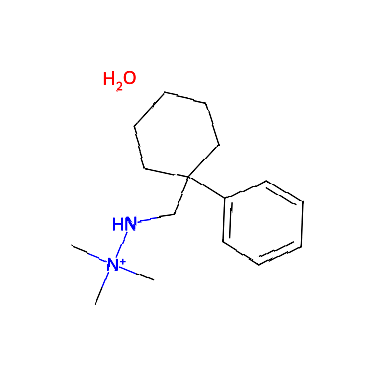 C[N+](C)(C)NCC1(c2ccccc2)CCCCC1.O